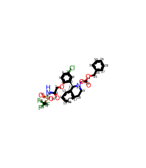 O=C(COc1ccc(Cl)cc1[C@@H]1c2ccccc2CCN1OC(=O)OCc1ccccc1)NS(=O)(=O)C(F)(F)F